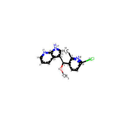 COC(c1ccc(Cl)nc1C)c1c[nH]c2ncccc12